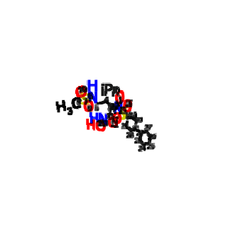 CC(C)ON([C@H](CCNS(C)(=O)=O)C(=O)NO)S(=O)(=O)c1ccc(-c2ccccc2)cc1